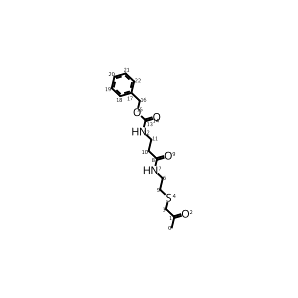 CC(=O)CSCCNC(=O)CCNC(=O)OCc1ccccc1